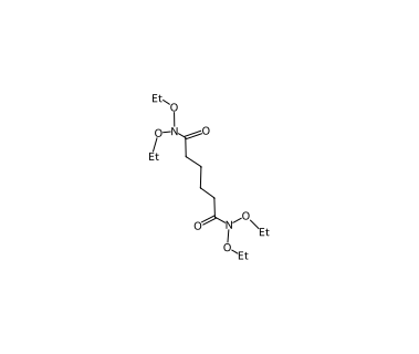 CCON(OCC)C(=O)CCCCC(=O)N(OCC)OCC